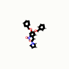 O=[N+]([O-])c1cc(OCc2ccccc2)c(OCc2ccccc2)cc1/C=C/N1CCCC1